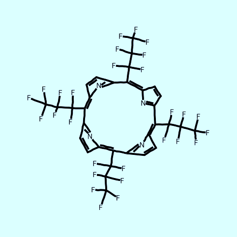 FC(F)(F)C(F)(F)C(F)(F)C1=C2C=CC(=N2)C(C(F)(F)C(F)(F)C(F)(F)F)=C2C=CC(=N2)C(C(F)(F)C(F)(F)C(F)(F)F)=C2C=CC(=N2)C(C(F)(F)C(F)(F)C(F)(F)F)=C2C=CC1=N2